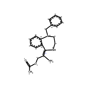 CC(=O)OC/C(N)=C1/NCCN(Cc2ccccc2)c2ccccc21